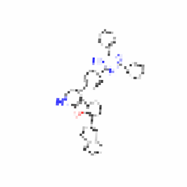 C1=C(c2ccc(C3=NC(c4ccccc4)=NC(c4ccccc4)N3)cc2)c2c(oc3c(-c4ccc5ccccc5c4)cccc23)NC1